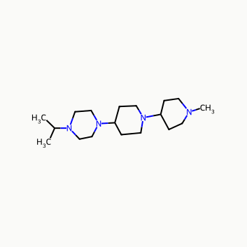 CC(C)N1CCN(C2CCN(C3CCN(C)CC3)CC2)CC1